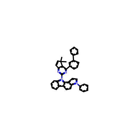 CC1(C)C=Cc2nc(-n3c4ccccc4c4ccc5c(ccn5-c5ccccc5)c43)nc(-c3cccc(-c4ccccc4)c3)c21